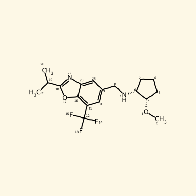 CO[C@H]1CCC[C@H]1NCc1cc(C(F)(F)F)c2oc(C(C)C)nc2c1